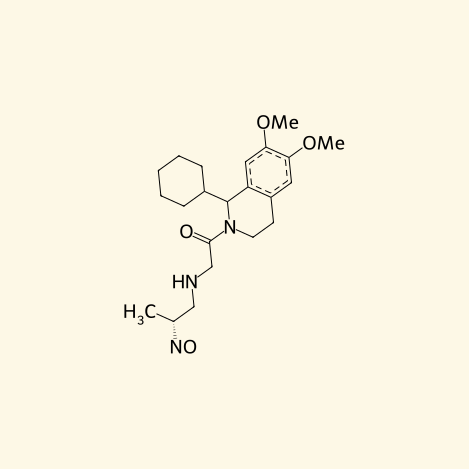 COc1cc2c(cc1OC)C(C1CCCCC1)N(C(=O)CNC[C@@H](C)N=O)CC2